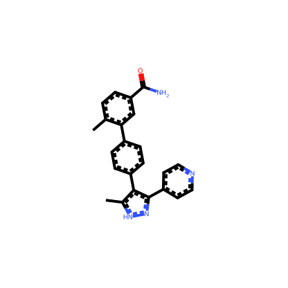 Cc1ccc(C(N)=O)cc1-c1ccc(-c2c(-c3ccncc3)n[nH]c2C)cc1